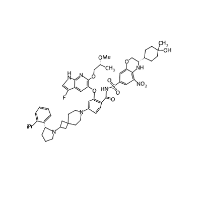 CO[C@H](C)COc1nc2[nH]cc(F)c2cc1Oc1cc(N2CCC3(CC2)CC(N2CCC[C@@H]2c2ccccc2C(C)C)C3)ccc1C(=O)NS(=O)(=O)c1cc2c(c([N+](=O)[O-])c1)N[C@@H](C1CCC(C)(O)CC1)CO2